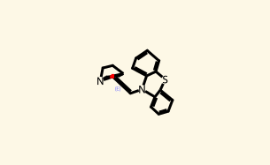 C(=C1\CN2CCC1CC2)/N1c2ccccc2Sc2ccccc21